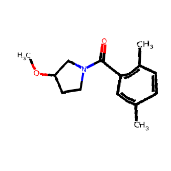 COC1CCN(C(=O)c2cc(C)ccc2C)C1